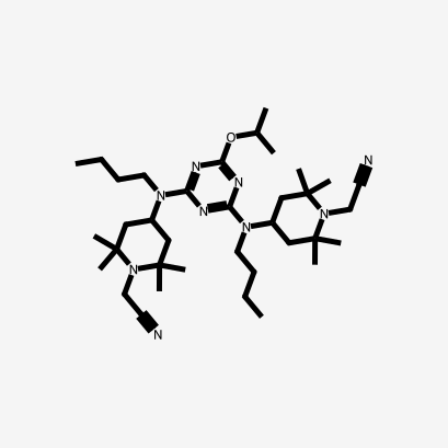 CCCCN(c1nc(OC(C)C)nc(N(CCCC)C2CC(C)(C)N(CC#N)C(C)(C)C2)n1)C1CC(C)(C)N(CC#N)C(C)(C)C1